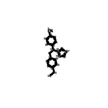 N#Cc1ccc(N(Cc2ccc(CI)cc2)n2cncn2)cc1